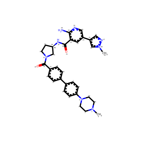 CN1CCN(c2ccc(-c3ccc(C(=O)N4CC[C@@H](NC(=O)c5cc(-c6cnn(C)c6)cnc5N)C4)cc3)cc2)CC1